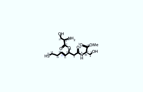 COC(=O)[C@@H](CO)NC(=O)CC(/C=C/CCS)OC(=O)C(N)CO